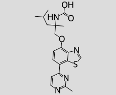 Cc1nccc(-c2ccc(OCC(C)(CC(C)C)NC(=O)O)c3ncsc23)n1